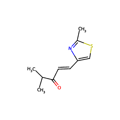 Cc1nc(/C=C/C(=O)C(C)C)cs1